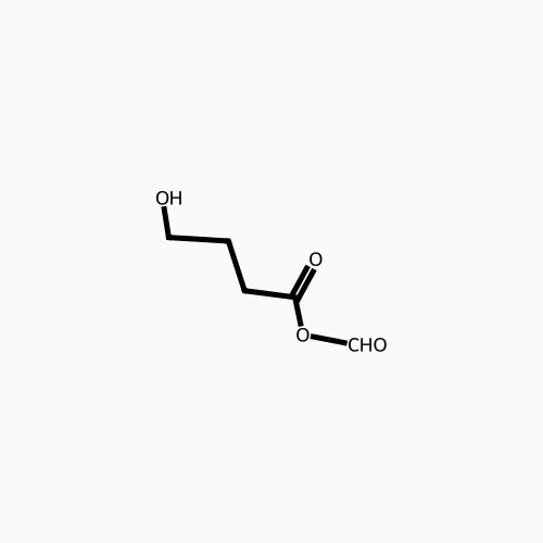 O=COC(=O)CCCO